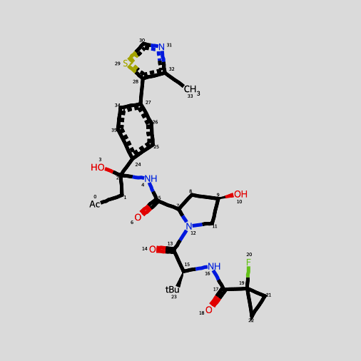 CC(=O)CC(O)(NC(=O)C1C[C@@H](O)CN1C(=O)[C@@H](NC(=O)C1(F)CC1)C(C)(C)C)c1ccc(-c2scnc2C)cc1